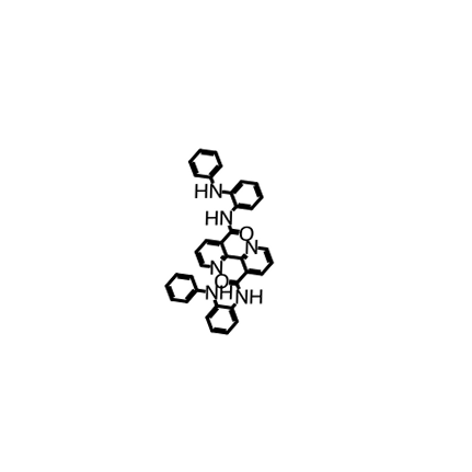 O=C(Nc1ccccc1Nc1ccccc1)c1cccnc1-c1ncccc1C(=O)Nc1ccccc1Nc1ccccc1